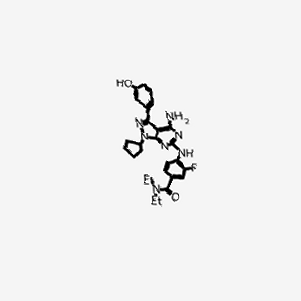 CCN(CC)C(=O)c1ccc(Nc2nc(N)c3c(-c4cccc(O)c4)nn(C4CCCC4)c3n2)c(F)c1